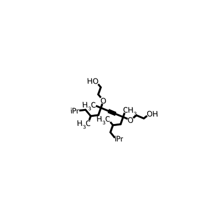 CC(C)CC(C)CC(C)(C#CC(C)(CC(C)CC(C)C)OCCO)OCCO